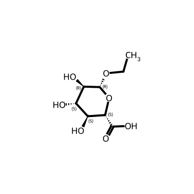 CCO[C@@H]1O[C@H](C(=O)O)[C@@H](O)[C@H](O)[C@H]1O